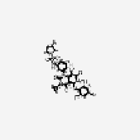 Cc1c(=O)n(C)c(Nc2ccc(I)cc2F)c2c(=O)n(C3CC3)c(=O)n(-c3cccc(NS(=O)(=O)N4CC[C@@H](F)C4)c3)c12